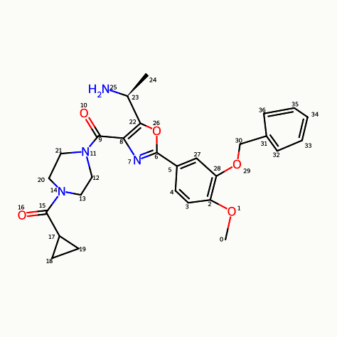 COc1ccc(-c2nc(C(=O)N3CCN(C(=O)C4CC4)CC3)c([C@H](C)N)o2)cc1OCc1ccccc1